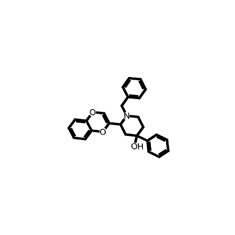 OC1(c2ccccc2)CCN(Cc2ccccc2)C(C2=COc3ccccc3O2)C1